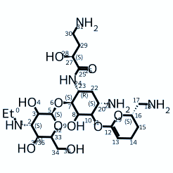 CCN[C@@H]1C(O)[C@@H](O[C@@H]2C(O)C(OC3=CCC[C@@H](CN)O3)[C@@H](N)C[C@H]2NC(=O)[C@@H](O)CCN)OC(CO)[C@H]1O